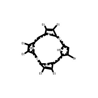 CCC1=C(CC)c2cc3[nH]c(cc4nc(cc5[nH]c(cc1n2)cc5Br)C(CC)=C4CC)c(CC)c3CC